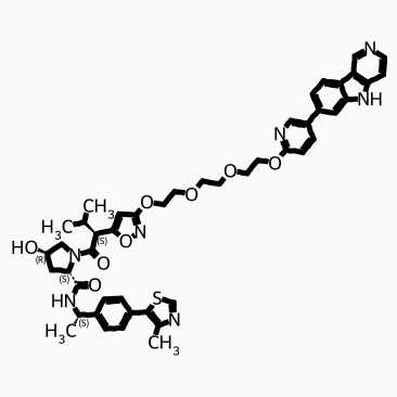 Cc1ncsc1-c1ccc([C@H](C)NC(=O)[C@@H]2C[C@@H](O)CN2C(=O)[C@H](c2cc(OCCOCCOCCOc3ccc(-c4ccc5c(c4)[nH]c4ccncc45)cn3)no2)C(C)C)cc1